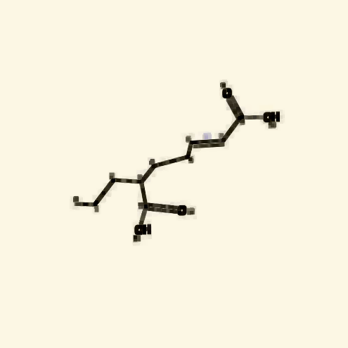 CCCC(CC/C=C/C(=O)O)C(=O)O